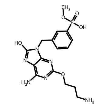 COP(=O)(O)c1cccc(Cn2c(O)nc3c(N)nc(OCCCN)nc32)c1